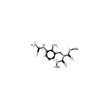 Cc1c(CN(C(=O)OC(C)(C)C)C(=O)OC(C)(C)C)cccc1NC(N)=S